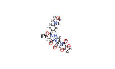 CC(C)CC(NC(=O)c1ccc(N2CCOCC2)cc1)C(=O)N1CCC2C1C(=O)CN2C(=O)C1OCCC1=O